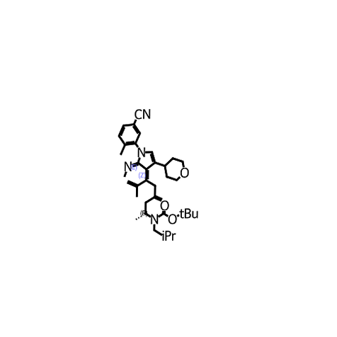 C=C(C/C(C(=C)C)=C1\C(C2CCOCC2)=CN(c2cc(C#N)ccc2C)\C1=N\C)C[C@@H](C)N(CC(C)C)C(=O)OC(C)(C)C